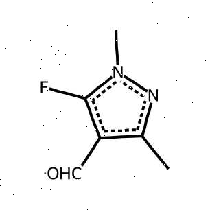 Cc1nn(C)c(F)c1[C]=O